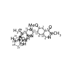 COc1cc2c(=O)n(C)ncc2cc1-c1ncc(N(C)[C@@H]2C[C@H]3CC[C@@H]([C@@H]2F)N3C(=O)O)nn1